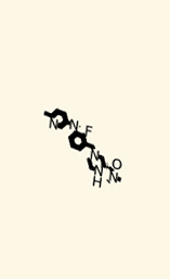 Cc1ccc([N]c2cccc(CN3CCN[C@H](C(=O)N(C)C)C3)c2F)cn1